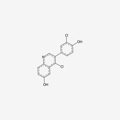 Oc1ccc2ncc(-c3ccc(O)c(Cl)c3)c(Cl)c2c1